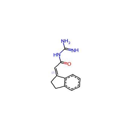 N=C(N)NC(=O)/C=C1/CCc2ccccc21